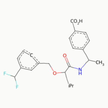 CC(NC(=O)C(OCc1cccc(C(F)F)c1)C(C)C)c1ccc(C(=O)O)cc1